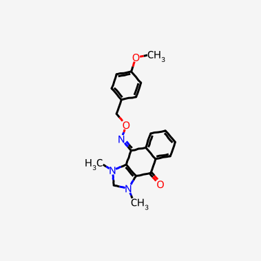 COc1ccc(CON=C2C3=C(C(=O)c4ccccc42)N(C)CN3C)cc1